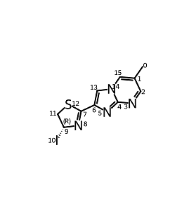 Cc1cnc2nc(C3=N[C@H](I)CS3)cn2c1